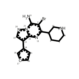 Nc1c(Br)c(C2CCCNC2)nc2c(-c3ccoc3)cnn12